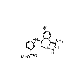 COC(=O)c1cccc(NC2CCN3NNC(C)=C3c3ccc(Br)cc32)c1